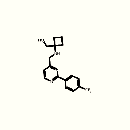 OCC1(NCc2ccnc(-c3ccc(C(F)(F)F)cc3)n2)CCC1